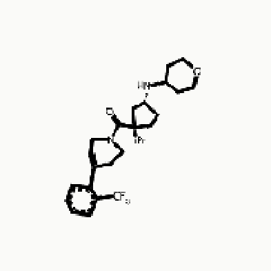 CC(C)[C@]1(C(=O)N2CC=C(c3ccccc3C(F)(F)F)CC2)CC[C@@H](NC2CCOCC2)C1